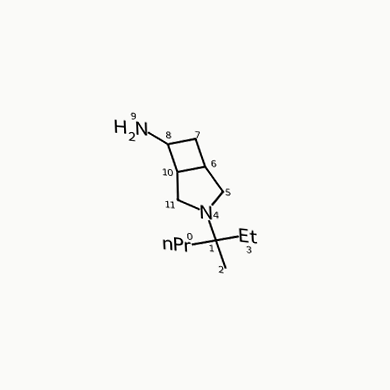 CCCC(C)(CC)N1CC2CC(N)C2C1